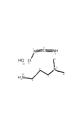 CCN=C=N.CN(C)CCCN.Cl